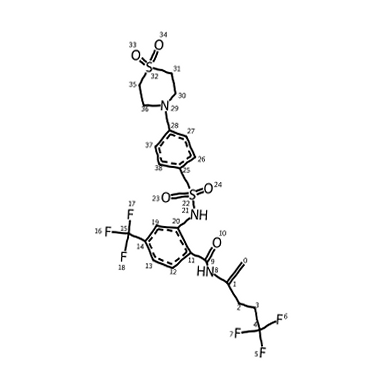 C=C(CCC(F)(F)F)NC(=O)c1ccc(C(F)(F)F)cc1NS(=O)(=O)c1ccc(N2CCS(=O)(=O)CC2)cc1